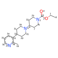 CCOC(=O)N1CCC(N2CCC(c3cccnc3C)CC2)CC1